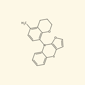 Cc1ccc(N2c3ccccc3Sc3ccoc32)c2c1CCCO2